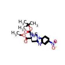 CCOC(=O)[C@H](Cc1nc2cc([N+](=O)[O-])ccc2n1C)NC(=O)OC(C)(C)C